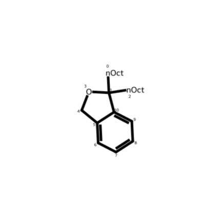 CCCCCCCCC1(CCCCCCCC)OCc2ccccc21